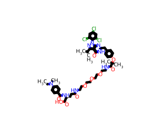 CCN(C)c1ccc(C(=O)N[C@H](CCC(=O)NCCOCCOCCOCCNC(=O)C(C)(C)Oc2ccc(Cc3nc4c(c(C(C)C)nn4-c4c(Cl)cc(Cl)cc4Cl)c(=O)[nH]3)cc2)C(=O)O)cc1